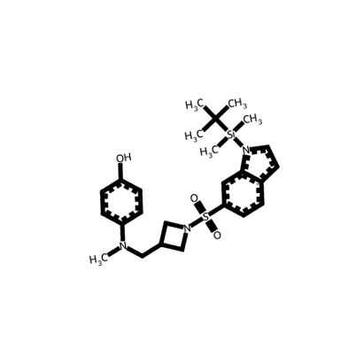 CN(CC1CN(S(=O)(=O)c2ccc3ccn([Si](C)(C)C(C)(C)C)c3c2)C1)c1ccc(O)cc1